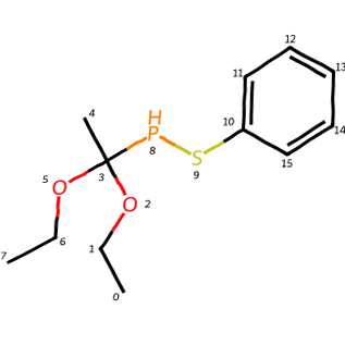 CCOC(C)(OCC)PSc1ccccc1